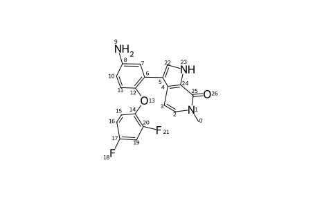 Cn1ccc2c(-c3cc(N)ccc3Oc3ccc(F)cc3F)c[nH]c2c1=O